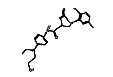 CCN(CCO)c1ccc(NC(=O)C2CC(=O)N(c3cc(C)ccc3C)C2)cc1